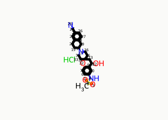 CS(=O)(=O)Nc1ccc2c(c1)[C@@H](O)CC1(CCN([C@H]3CCc4cc(C#N)ccc4C3)CC1)O2.Cl